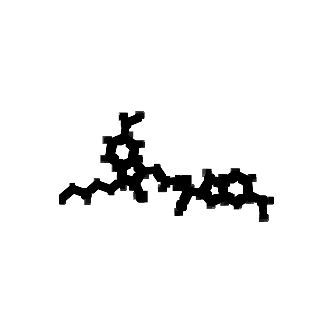 CCOCCn1c(Cl)c(C=NNC(=O)c2cc3cc(OC)ccc3o2)c2cc(OC)ccc21